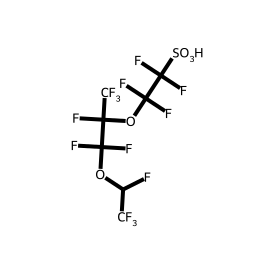 O=S(=O)(O)C(F)(F)C(F)(F)OC(F)(C(F)(F)F)C(F)(F)OC(F)C(F)(F)F